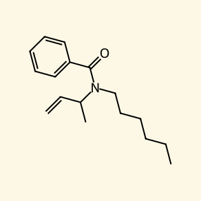 C=CC(C)N(CCCCCC)C(=O)c1ccccc1